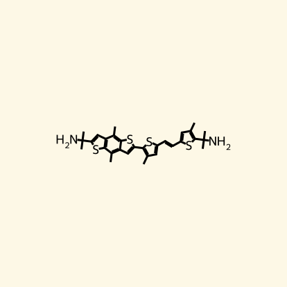 Cc1cc(/C=C/c2cc(C)c(C(C)(C)N)s2)sc1-c1cc2c(C)c3sc(C(C)(C)N)cc3c(C)c2s1